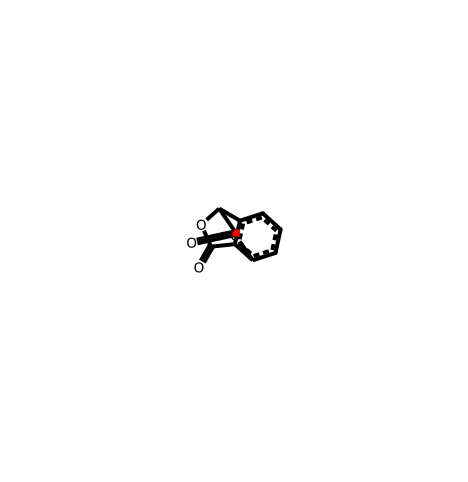 O=C1OC2C(=O)Oc3cccc2c31